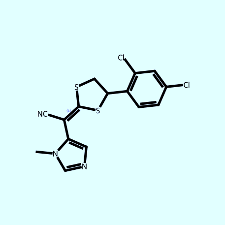 Cn1cncc1/C(C#N)=C1/SCC(c2ccc(Cl)cc2Cl)S1